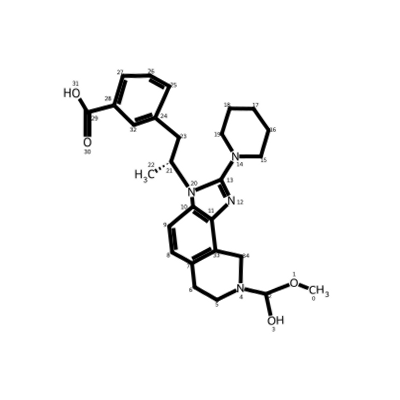 COC(O)N1CCc2ccc3c(nc(N4CCCCC4)n3[C@H](C)Cc3cccc(C(=O)O)c3)c2C1